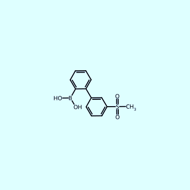 CS(=O)(=O)c1cccc(-c2ccccc2B(O)O)c1